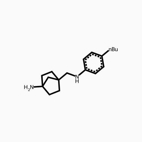 CCCCc1ccc(NCC23CCC(N)(CC2)C3)cc1